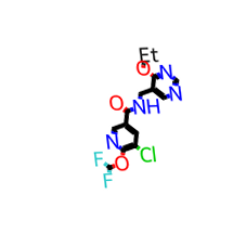 CCOc1ncncc1CNC(=O)c1cnc(OC(F)F)c(Cl)c1